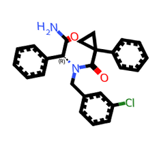 NC(=O)[C@@H](c1ccccc1)N(Cc1cccc(Cl)c1)C(=O)C1(c2ccccc2)CC1